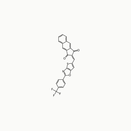 O=C1C(=Cc2cc3oc(-c4ccc(C(F)(F)F)cc4)nc3s2)C(=O)c2cc3ccccc3cc21